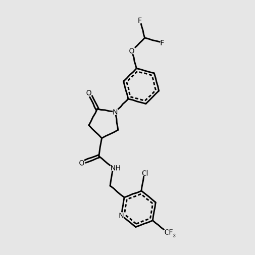 O=C(NCc1ncc(C(F)(F)F)cc1Cl)C1CC(=O)N(c2cccc(OC(F)F)c2)C1